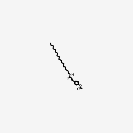 CCCCCCCCCCCCCCCCCCNC(=O)C=Cc1ccc(OC(C)=O)cc1